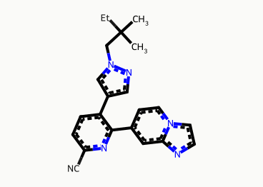 CCC(C)(C)Cn1cc(-c2ccc(C#N)nc2-c2ccn3ccnc3c2)cn1